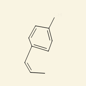 C/C=C\c1ccc(O)cc1